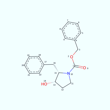 O=C(OCc1ccccc1)N1CC[C@H](O)[C@@H]1Cc1ccccc1